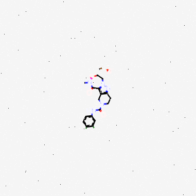 CN1O[C@H](C[S@+](C)[O-])Cn2nc3c(c2C1=O)CN(C(=O)Nc1ccc(F)c(Cl)c1)CC3